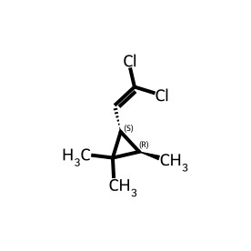 C[C@@H]1[C@@H](C=C(Cl)Cl)C1(C)C